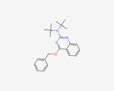 C[Si](C)(C)N(c1nc(OCc2ccccc2)c2ccccc2n1)[Si](C)(C)C